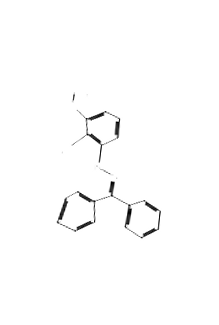 COc1cccc(NN=C(c2ccccc2)c2ccccc2)c1C